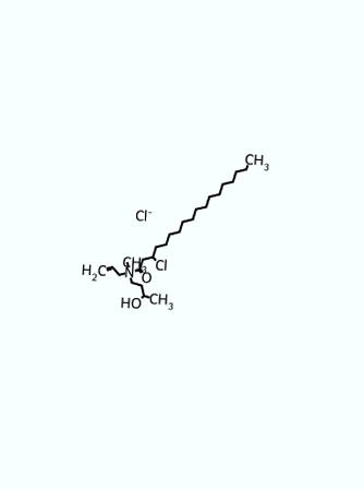 C=CC[N+](C)(CCC(C)O)C(=O)CC(Cl)CCCCCCCCCCCCCCC.[Cl-]